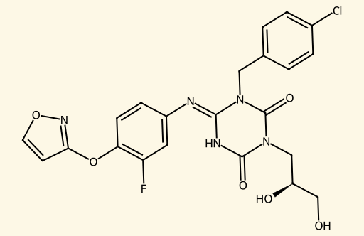 O=c1[nH]/c(=N\c2ccc(Oc3ccon3)c(F)c2)n(Cc2ccc(Cl)cc2)c(=O)n1C[C@H](O)CO